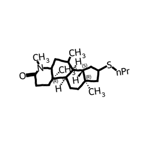 CCCSC1C[C@H]2[C@@H]3C(C)CC4N(C)C(=O)CC[C@]4(C)[C@@H]3CC[C@]2(C)C1